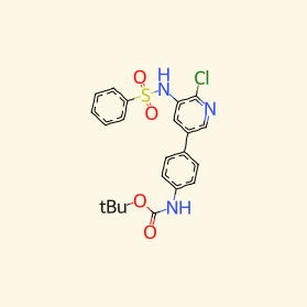 CC(C)(C)OC(=O)Nc1ccc(-c2cnc(Cl)c(NS(=O)(=O)c3ccccc3)c2)cc1